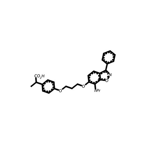 CCCc1c(OCCCOc2ccc(C(C)C(=O)O)cc2)ccc2c(-c3ccccc3)noc12